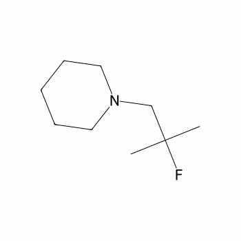 CC(C)(F)CN1CCCCC1